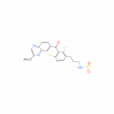 COc1cnc2ccc(C(=O)c3c(F)ccc(CCCN[SH](=O)=O)c3F)cc2n1